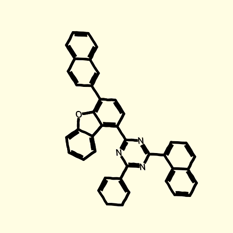 C1=CC(c2nc(-c3cccc4ccccc34)nc(-c3ccc(-c4ccc5ccccc5c4)c4oc5ccccc5c34)n2)=CCC1